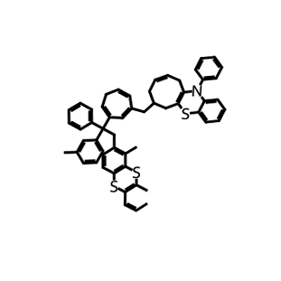 C/C=C\C1=C(C)Sc2c(ccc(CC(C3=CCC=CC(CC4C/C=C\CC5=C(C4)Sc4ccccc4N5c4ccccc4)=C3)(c3ccccc3)c3cccc(C)c3)c2C)S1